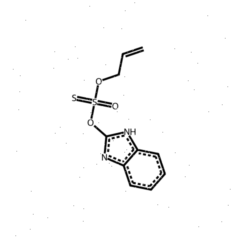 C=CCOS(=O)(=S)Oc1nc2ccccc2[nH]1